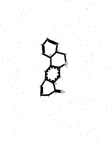 O=C1CC=Cc2cc3c(cc21)OCC1C=CC=CC31